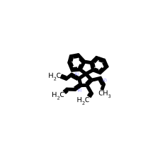 C=C/C=C1C(C=C)=C(/C=C\C)C2(C/1=C/C=C)c1ccccc1-c1ccccc12